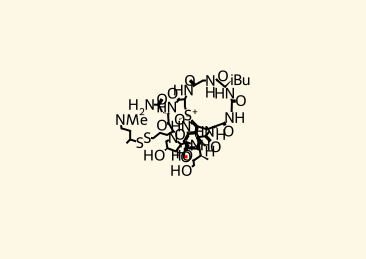 CC[C@H](C)[C@@H]1NC(=O)CNC(=O)[C@@H]2Cc3c4[nH]c5cc(ccc35)OC(CCCSSC(C)CCNC)(C(=O)[C@H](CC(N)=O)NC(=O)C(C[S@@+]4[O-])NC(=O)CNC1=O)N1C[C@H](O)C[C@H]1C(=O)N[C@@H]([C@@H](C)[C@@H](O)CO)C(=O)N2